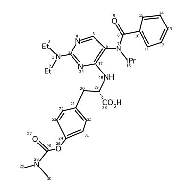 CCN(CC)c1ncc(N(C(=O)c2ccccc2)C(C)C)c(N[C@@H](Cc2ccc(OC(=O)N(C)C)cc2)C(=O)O)n1